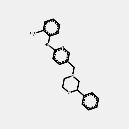 Cc1ccccc1Nc1ccc(CN2CCOC(c3ccccc3)C2)cn1